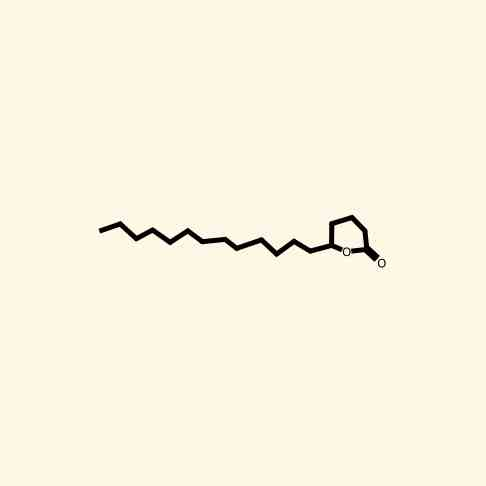 CCCCCCCCCCCCCC1CCCC(=O)O1